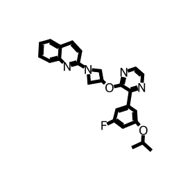 CC(C)Oc1cc(F)cc(-c2nccnc2OC2CN(c3ccc4ccccc4n3)C2)c1